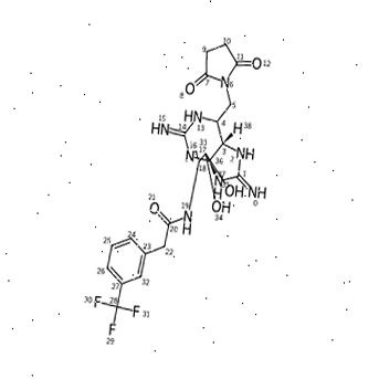 N=C1N[C@H]2C(CN3C(=O)CCC3=O)NC(=N)N3CC(NC(=O)Cc4cccc(C(F)(F)F)c4)C(O)(O)[C@]23N1